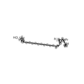 CCCN(OCCNC(=O)OC(C)C)C(=O)C1=Cc2sc(CC3CN(C(=O)CCOCCOCCOCCOCCOCCOCCOCCOCCOCCOCCC(=O)Oc4c(F)c(F)c(S(=O)(=O)O)c(F)c4F)C3)cc2N=C(N)C1